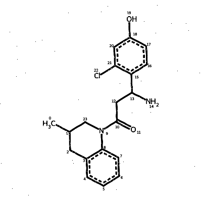 CC1Cc2ccccc2N(C(=O)CC(N)c2ccc(O)cc2Cl)C1